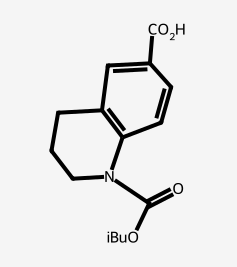 CC(C)COC(=O)N1CCCc2cc(C(=O)O)ccc21